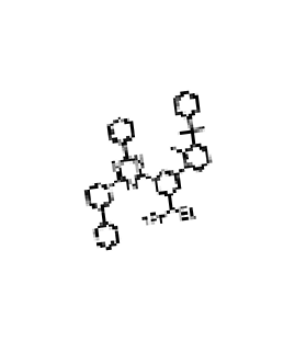 CCCC(CC)c1cc(-c2nc(-c3ccccc3)nc(-c3cccc(-c4ccccc4)c3)n2)cc(-c2cccc(C(C)(C)c3ccccc3)c2C)c1